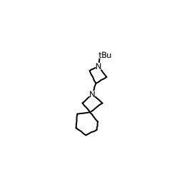 CC(C)(C)N1CC(N2CC3(CCCCC3)C2)C1